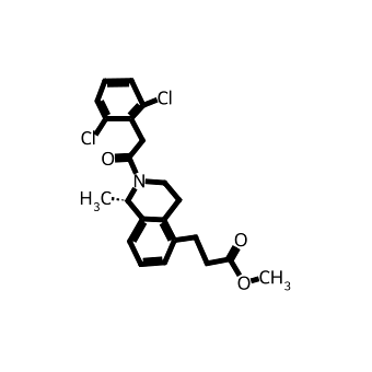 COC(=O)CCc1cccc2c1CCN(C(=O)Cc1c(Cl)cccc1Cl)[C@H]2C